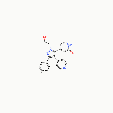 O=c1cc(-c2c(-c3ccncc3)c(-c3ccc(F)cc3)nn2CCO)cc[nH]1